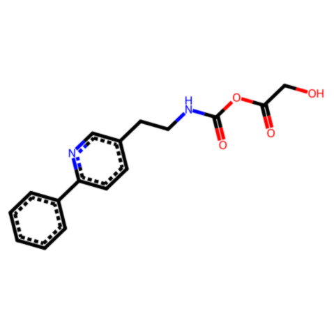 O=C(CO)OC(=O)NCCc1ccc(-c2ccccc2)nc1